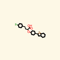 O=C(O)C(CCc1ccc(F)cc1)Oc1ccc(-c2cc3ccccc3s2)cc1